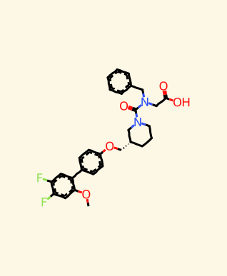 COc1cc(F)c(F)cc1-c1ccc(OC[C@H]2CCCN(C(=O)N(CC(=O)O)Cc3ccccc3)C2)cc1